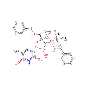 Cc1cn([C@@H]2O[C@](COCc3ccccc3)(C3(O[Si](C)(C)C(C)(C)C)CC3)[C@H](COCc3ccccc3)C2O)c(=O)[nH]c1=O